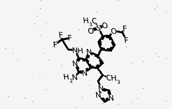 C[C@@H](Cn1cncn1)c1cc(-c2ccc(OC(F)F)c(S(C)(=O)=O)c2)nc2c(NCC(F)(F)F)nc(N)nc12